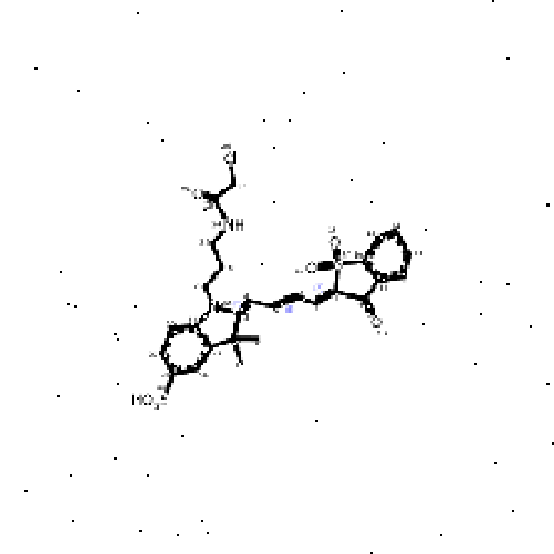 CC1(C)\C(=C/C=C/C=C2/C(=O)c3ccccc3S2(=O)=O)N(CCCNC(=O)CCl)c2ccc(S(=O)(=O)O)cc21